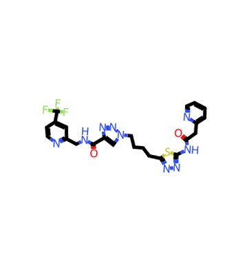 O=C(Cc1ccccn1)Nc1nnc(CCCCn2cc(C(=O)NCc3cc(C(F)(F)F)ccn3)nn2)s1